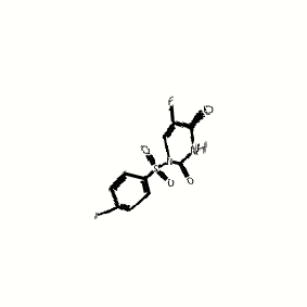 O=c1[nH]c(=O)n(S(=O)(=O)c2ccc(I)cc2)cc1F